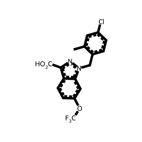 Cc1cc(Cl)ccc1Cn1nc(C(=O)O)c2ccc(OC(F)(F)F)cc21